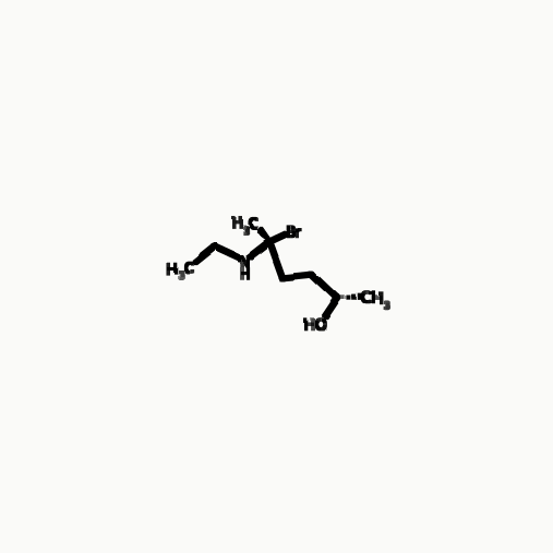 CCN[C@](C)(Br)CC[C@H](C)O